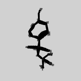 O=P(O)(O)CS(=O)(=O)c1ccc(F)cc1